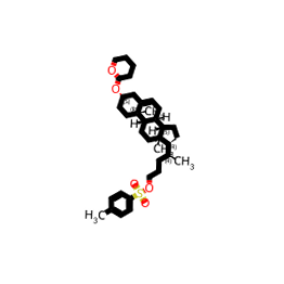 Cc1ccc(S(=O)(=O)OCCC[C@@H](C)[C@H]2CC[C@H]3[C@@H]4CC=C5C[C@@H](OC6CCCCO6)CC[C@]5(C)[C@H]4CC[C@]23C)cc1